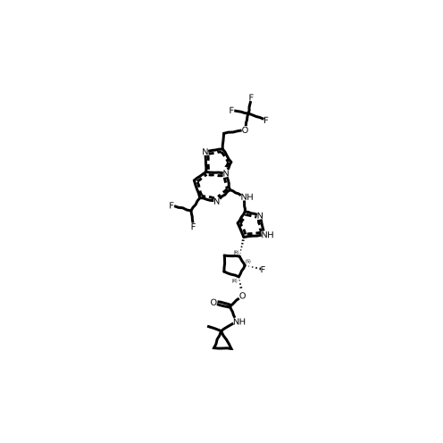 CC1(NC(=O)O[C@@H]2CC[C@H](c3cc(Nc4nc(C(F)F)cc5nc(COC(F)(F)F)cn45)n[nH]3)[C@@H]2F)CC1